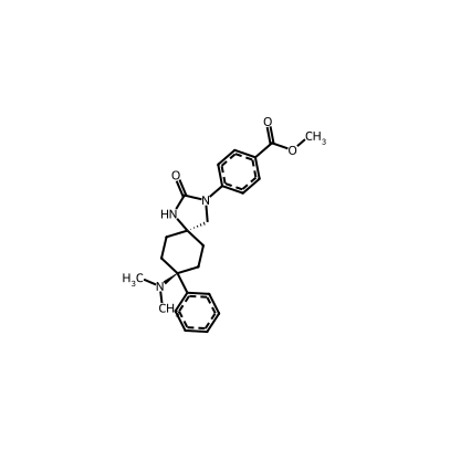 COC(=O)c1ccc(N2C[C@]3(CC[C@](c4ccccc4)(N(C)C)CC3)NC2=O)cc1